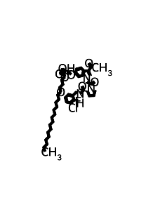 CCCCCCCCCCCCCCCCOCCCOP(=O)(O)COc1ccc2c(C(C)=O)cn(CC(=O)N3CCC[C@H]3C(=O)NCc3cccc(Cl)c3F)c2c1